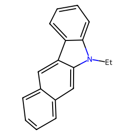 CCn1c2ccccc2c2cc3ccccc3cc21